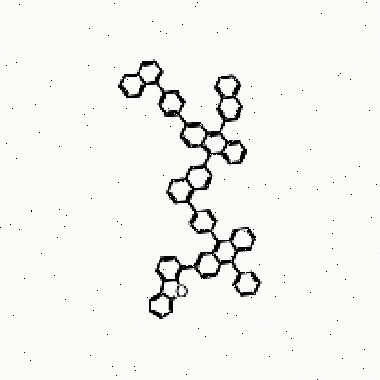 c1ccc(-c2c3ccccc3c(-c3ccc(-c4cccc5cc(-c6c7ccccc7c(-c7ccc8ccccc8c7)c7cc(-c8ccc(-c9cccc%10ccccc9%10)cc8)ccc67)ccc45)cc3)c3cc(-c4cccc5c4oc4ccccc45)ccc23)cc1